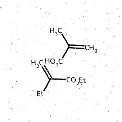 C=C(C)C(=O)O.C=C(CC)C(=O)OCC